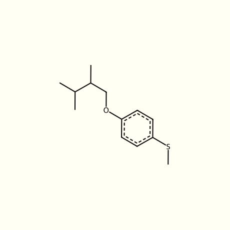 CSc1ccc(OCC(C)C(C)C)cc1